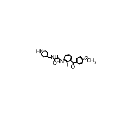 COc1ccc(C(=O)c2cccc(NCC(=O)NCC3CCNCC3)c2I)cc1